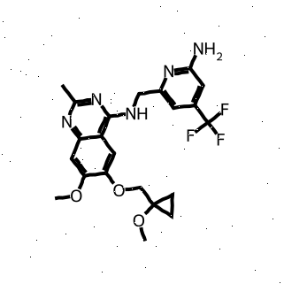 COc1cc2nc(C)nc(NCc3cc(C(F)(F)F)cc(N)n3)c2cc1OCC1(OC)CC1